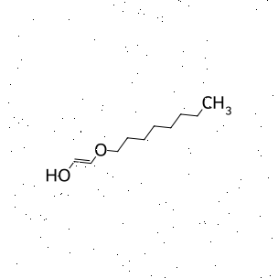 CCCCCCCCOC=CO